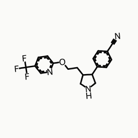 N#Cc1ccc(C2CNCC2CCOc2ccc(C(F)(F)F)cn2)cc1